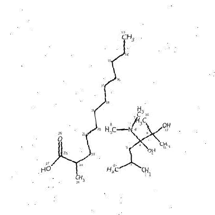 CC(C)CC(O)(N(C)C)C(C)(C)O.CCCCCCCCCCC(C)C(=O)O